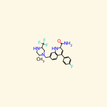 C[C@@H]1CNC(C(F)(F)F)CN1Cc1ccc2c(c1)NC(C(N)=O)C=C2c1ccc(F)cc1